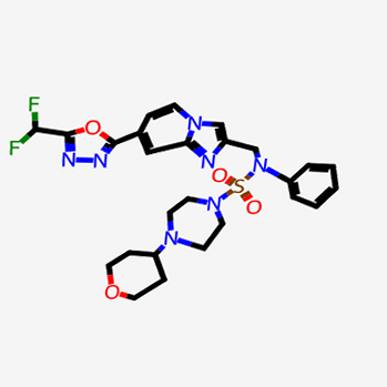 O=S(=O)(N1CCN(C2CCOCC2)CC1)N(Cc1cn2ccc(-c3nnc(C(F)F)o3)cc2n1)c1ccccc1